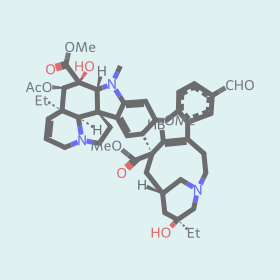 CC[C@]1(O)C[C@H]2CN(CCC3=C(Bc4ccc(C=O)cc43)[C@@](C(=O)OC)(C3C=C4C(=CC3OC)N(C)[C@H]3[C@@](O)(C(=O)OC)[C@H](OC(C)=O)[C@]5(CC)C=CCN6CC[C@]43[C@@H]65)C2)C1